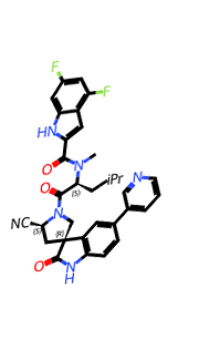 CC(C)C[C@@H](C(=O)N1C[C@]2(C[C@H]1C#N)C(=O)Nc1ccc(-c3cccnc3)cc12)N(C)C(=O)c1cc2c(F)cc(F)cc2[nH]1